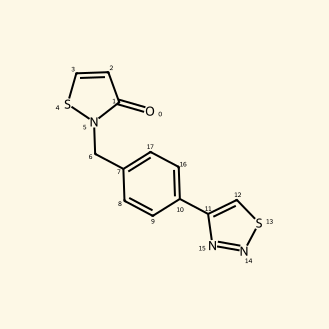 O=c1ccsn1Cc1ccc(-c2csnn2)cc1